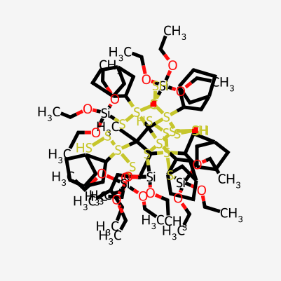 CCO[Si](OCC)(OCC)SS(SS)(C1CC2CCC1C2)C(CCC(C)CC)C(C)(C(S(SS)(S[Si](OCC)(OCC)OCC)C1CC2CCC1C2)(S(SS)(S[Si](OCC)(OCC)OCC)C1CC2CCC1C2)S(SS)(S[Si](OCC)(OCC)OCC)C1CC2CCC1C2)S(SS)(S[Si](OCC)(OCC)OCC)C1CC2CCC1C2